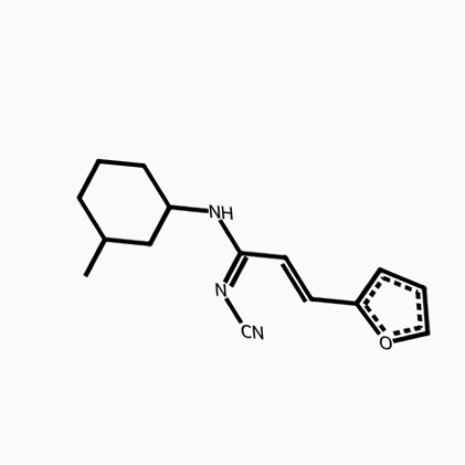 CC1CCCC(NC(C=Cc2ccco2)=NC#N)C1